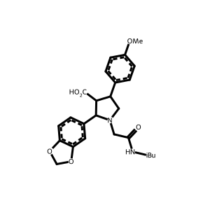 CCC(C)NC(=O)CN1CC(c2ccc(OC)cc2)C(C(=O)O)C1c1ccc2c(c1)OCO2